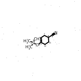 C[Si](C)(C)OC1=CCC(C#N)CC1